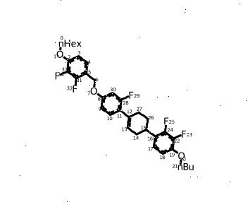 CCCCCCOc1ccc(COc2ccc(C3=CCC(c4ccc(OCCCC)c(F)c4F)CC3)c(F)c2)c(F)c1F